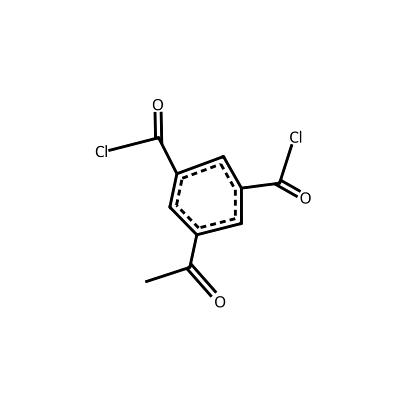 CC(=O)c1cc(C(=O)Cl)cc(C(=O)Cl)c1